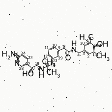 Cc1cc(CNC(=O)Cc2cccc(CC(C)(C)NC[C@H](O)c3ccc(N)nc3)c2)cc(C)c1O